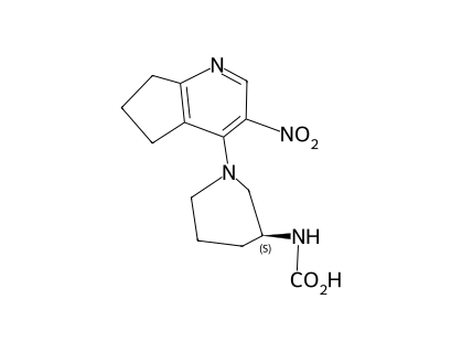 O=C(O)N[C@H]1CCCN(c2c([N+](=O)[O-])cnc3c2CCC3)C1